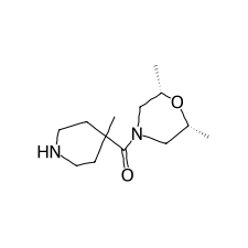 C[C@@H]1CN(C(=O)C2(C)CCNCC2)C[C@H](C)O1